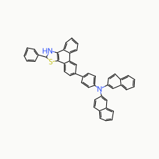 c1ccc(C2Nc3c(c4ccc(-c5ccc(N(c6ccc7ccccc7c6)c6ccc7ccccc7c6)cc5)cc4c4ccccc34)S2)cc1